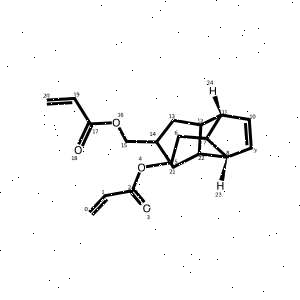 C=CC(=O)OCCC1[C@@H]2C=C[C@H]1C1CC(COC(=O)C=C)CC12